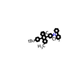 Cc1ccc2c(-c3cc(C)c(-n4c5ccccc5c5ccccc54)cc3C)c3ccccc3c(-c3ccc(C(C)(C)C)cc3)c2c1